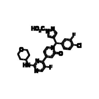 O=C(O)n1cc(C(c2ccc(Cl)c(F)c2)n2ccc(-c3nc(NC4CCOCC4)ncc3F)cc2=O)cn1